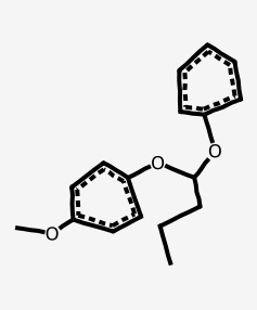 CCCC(Oc1ccccc1)Oc1ccc(OC)cc1